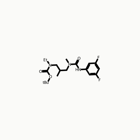 CCN(CC(C)CN(C)C(=O)Nc1cc(F)cc(F)c1)C(=O)OC(C)(C)C